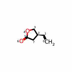 C=C[C@@H]1COC(=O)C1